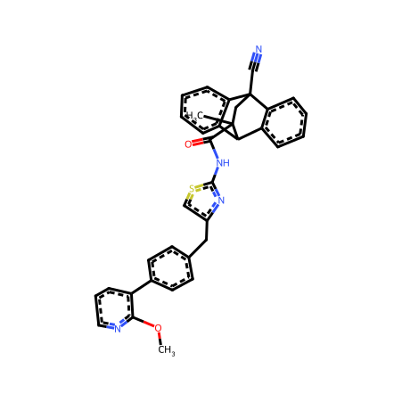 COc1ncccc1-c1ccc(Cc2csc(NC(=O)C3(C)CC4(C#N)c5ccccc5C3c3ccccc34)n2)cc1